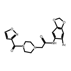 CC(=O)c1cc2c(cc1NC(=O)CN1CCN(C(=O)c3ccon3)CC1)OCO2